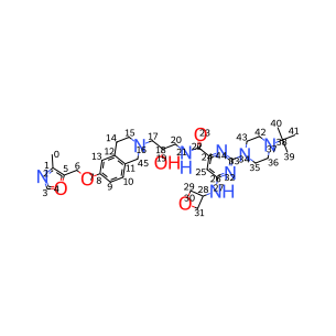 Cc1ncoc1COc1ccc2c(c1)CCN(C[C@@H](O)CNC(=O)c1cc(NC3COC3)nc(N3CCN(C(C)(C)C)CC3)n1)C2